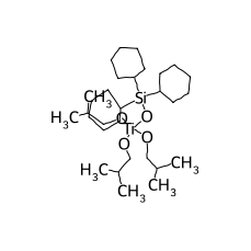 CC(C)C[O][Ti]([O]CC(C)C)([O]CC(C)C)[O][Si](C1CCCCC1)(C1CCCCC1)C1CCCCC1